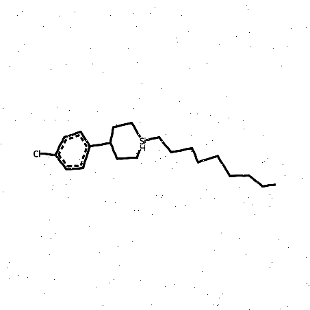 CCCCCCCCC[SiH]1CCC(c2ccc(Cl)cc2)CC1